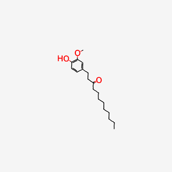 CCCCCCCCCC(=O)CCc1ccc(O)c(OC)c1